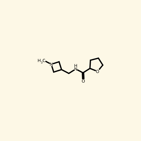 CN1CC(CNC(=O)C2CCCO2)C1